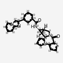 O=C(N[C@@H]1[C@@H]2CN(C(=O)c3sccc3-n3cccc3)C[C@@H]21)c1cccc(-c2cn3ccccc3n2)c1